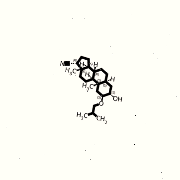 CC(C)CO[C@H]1C[C@@]2(C)[C@@H](CC[C@@H]3[C@@H]2CC[C@]2(C)[C@H](C#N)CC[C@@H]32)C[C@@H]1O